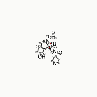 O=C(c1ccncc1)N1C[C@H]2CC34CCC1C2C31CCN(CC2CC2)C4Cc2ccc(O)cc21